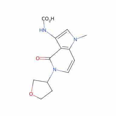 Cn1cc(NC(=O)O)c2c(=O)n(C3CCOC3)ccc21